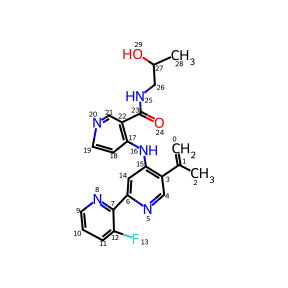 C=C(C)c1cnc(-c2ncccc2F)cc1Nc1ccncc1C(=O)NCC(C)O